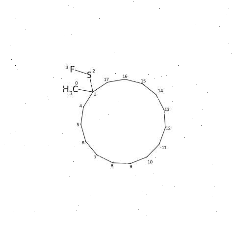 CC1(SF)CCCCCCCCCCCCCC1